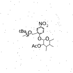 CC(=O)OC1C(Oc2ccc([N+](=O)[O-])cc2CO[Si](C)(C)C(C)(C)C)OC(C)C(C)C1C